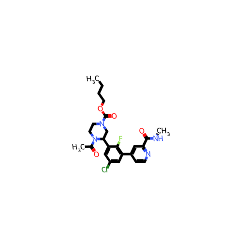 CCCCOC(=O)N1CCN(C(C)=O)C(c2cc(Cl)cc(-c3ccnc(C(=O)NC)c3)c2F)C1